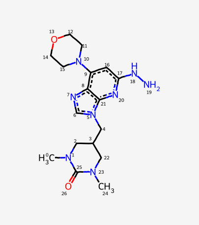 CN1CC(Cn2cnc3c(N4CCOCC4)cc(NN)nc32)CN(C)C1=O